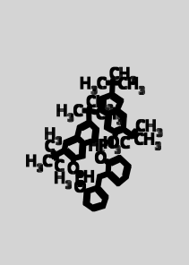 CC(C)(C)c1ccc2cc(OPOc3ccccc3Cc3ccccc3OPOc3cc4ccc(C(C)(C)C)cc4cc3C(C)(C)C)c(C(C)(C)C)cc2c1